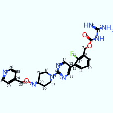 N=C(N)NC(=O)OCc1cccc(-c2cnc(N3CCC(=NOCc4ccncc4)CC3)nc2)c1F